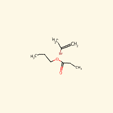 C=C(C)Br.CCCOC(=O)CC